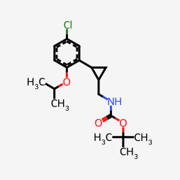 CC(C)Oc1ccc(Cl)cc1C1CC1CNC(=O)OC(C)(C)C